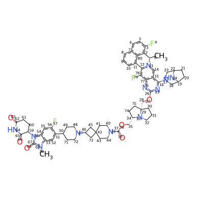 CCc1c(F)ccc2cccc(-c3ncc4c(N5CC6CCC(C5)N6)nc(OC[C@]56CCCN5[C@H](COC(=O)N5CCC7(CC5)CC(N5CCC(c8cc9c(cc8F)n(C8CCC(=O)NC8=O)c(=O)n9C)CC5)C7)CC6)nc4c3F)c12